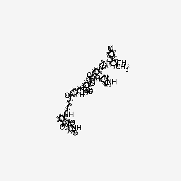 CC1(C)CCC(CN2CCN(c3ccc(C(=O)NS(=O)(=O)c4ccc(NCC5CCN(C(=O)CCCCCCNc6cccc7c6CN(C6CCC(=O)NC6=O)C7=O)CC5)c([N+](=O)[O-])c4)c(Oc4cnc5[nH]ccc5c4)c3)CC2)=C(c2ccc(Cl)cc2)C1